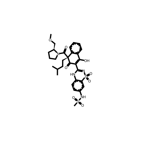 COC[C@@H]1CCCN1C(=O)[C@@]1(CCC(C)C)C(=O)C(C2=NS(=O)(=O)c3cc(NS(C)(=O)=O)ccc3N2)=C(O)c2ccccc21